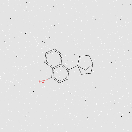 Oc1ccc(C23CCC(CC2)C3)c2ccccc12